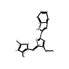 CCC1=CC(c2cc3ccccc3[nH]2)=N/C1=C\C1=C(C)C=C(C)C1